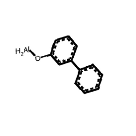 [AlH2][O]c1cccc(-c2ccccc2)c1